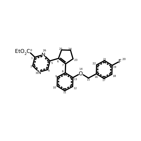 CCOC(=O)c1cncc(C2=C(c3ccccc3OCc3ccc(F)cc3)CCC2)n1